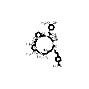 CO[C@H]1C[C@@H](C)C/C(C)=C/[C@@H](C/C=C/c2ccc(C(=O)O)cc2)C(=O)C[C@H](O)[C@@H](C)[C@@H](/C(C)=C/[C@@H]2CC[C@@H](O)[C@H](OC)C2)OC(=O)[C@@H]2CCCCN2C(=O)C(=O)[C@]2(O)O[C@H]1[C@@H](OC)C[C@H]2C